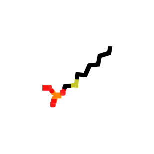 CCCCCCCSCO[PH](=O)O